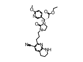 CCOC(=O)C[C@@H](c1ccc(OC)nc1)N1CCN(CCCc2nc3c(cc2C#N)CCCN3)C1=O